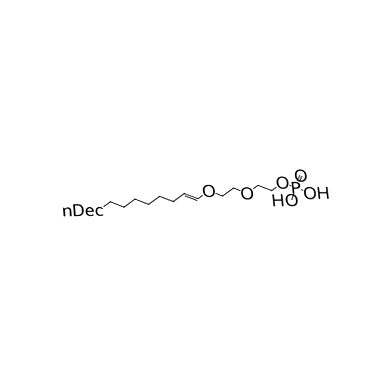 CCCCCCCCCCCCCCCCC=COCCOCCOP(=O)(O)O